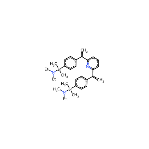 C=C(c1ccc([Si](C)(C)N(C)CC)cc1)c1cccc(C(=C)c2ccc([Si](C)(C)N(CC)CC)cc2)n1